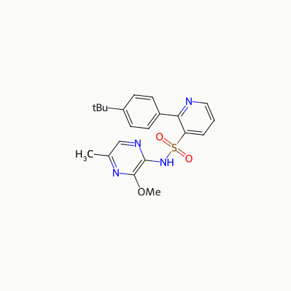 COc1nc(C)cnc1NS(=O)(=O)c1cccnc1-c1ccc(C(C)(C)C)cc1